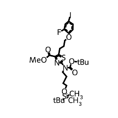 COC(=O)c1nc(N(CCCCO[Si](C)(C)C(C)(C)C)C(=O)OC(C)(C)C)sc1CCCOc1ccc(I)cc1F